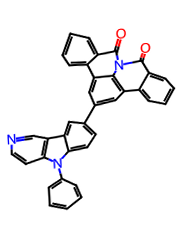 O=c1c2ccccc2c2cc(-c3ccc4c(c3)c3cnccc3n4-c3ccccc3)cc3c4ccccc4c(=O)n1c23